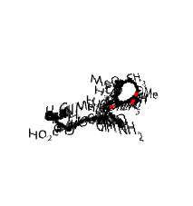 CNN(C)Cc1cc2ccccc2n1CCC(=O)N[C@@H](CCC(=O)O)C(=O)NCCOCCOCCC(=O)NC(C(=O)N[C@@H](CCCNC(N)=O)C(=O)N(C)[C@@H](C)C(=O)O[C@H]1CC(=O)N(C)c2cc(cc(OC)c2Cl)C/C(C)=C/C=C/[C@@H](OC)[C@@]2(O)C[C@H](OC(=O)N2)[C@@H](C)[C@@H]2C[C@]12C)C(C)C